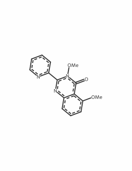 COc1cccc2nc(-c3ccccn3)n(OC)c(=O)c12